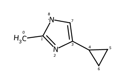 CC1=NC(C2CC2)=C[N]1